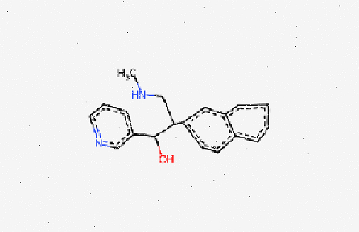 CNCC(c1ccc2ccccc2c1)C(O)c1cccnc1